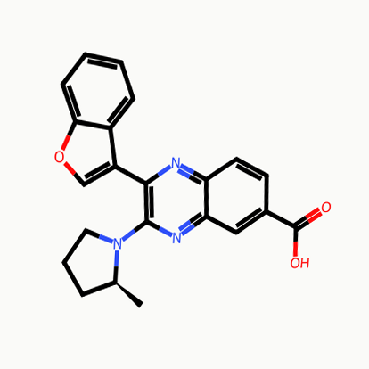 C[C@H]1CCCN1c1nc2cc(C(=O)O)ccc2nc1-c1coc2ccccc12